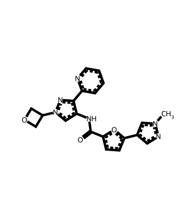 Cn1cc(-c2ccc(C(=O)Nc3cn(C4COC4)nc3-c3ccccn3)o2)cn1